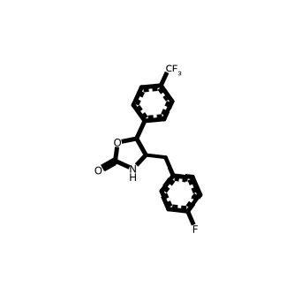 O=C1NC(Cc2ccc(F)cc2)C(c2ccc(C(F)(F)F)cc2)O1